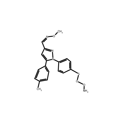 CO/N=C\c1cc(-c2ccc(C)cc2)n(-c2ccc(SOON)cc2)n1